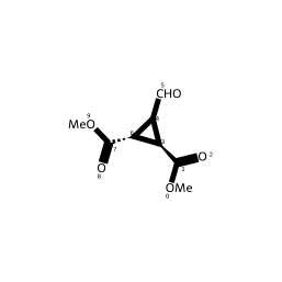 COC(=O)[C@@H]1C(C=O)[C@H]1C(=O)OC